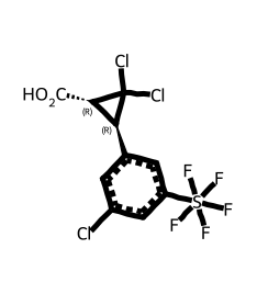 O=C(O)[C@H]1[C@H](c2cc(Cl)cc(S(F)(F)(F)(F)F)c2)C1(Cl)Cl